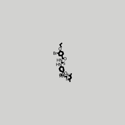 CCCOc1ccc(C(=O)NC(=S)Nc2ccc(S(=O)(=O)Nc3nc(C)cc(C)n3)cc2)cc1Br